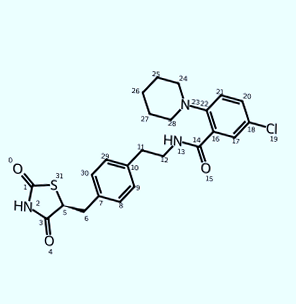 O=C1NC(=O)[C@H](Cc2ccc(CCNC(=O)c3cc(Cl)ccc3N3CCCCC3)cc2)S1